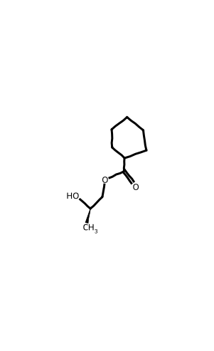 C[C@@H](O)COC(=O)C1CCCCC1